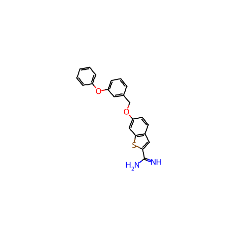 N=C(N)c1cc2ccc(OCc3cccc(Oc4ccccc4)c3)cc2s1